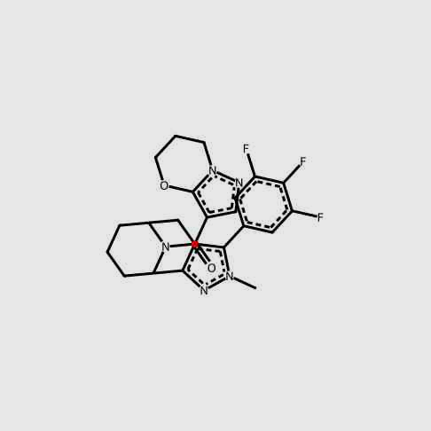 Cn1nc2c(c1-c1cc(F)c(F)c(F)c1)CC1CCCC2N1C(=O)c1cnn2c1OCCC2